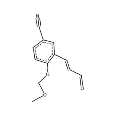 COCOc1ccc(C#N)cc1C=CC=O